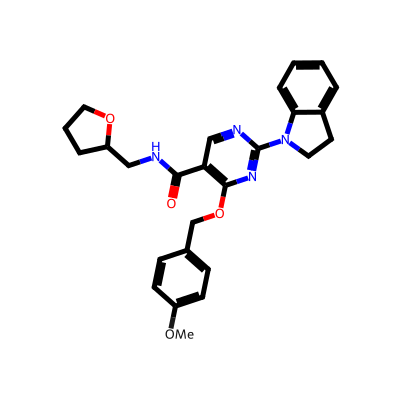 COc1ccc(COc2nc(N3CCc4ccccc43)ncc2C(=O)NCC2CCCO2)cc1